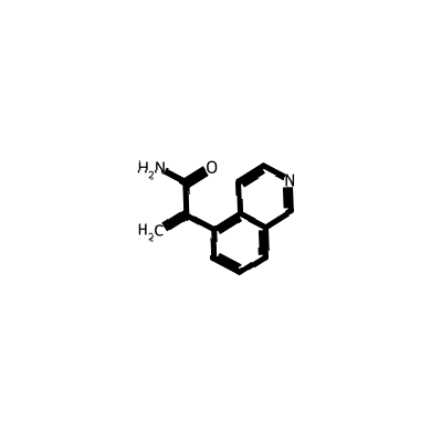 C=C(C(N)=O)c1cccc2cnccc12